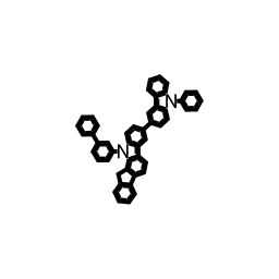 c1ccc(-c2cccc(-n3c4ccc(-c5ccc6c(c5)c5ccccc5n6-c5ccccc5)cc4c4ccc5c(c43)Cc3ccccc3-5)c2)cc1